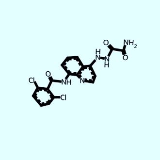 NC(=O)C(=O)NNc1ccnc2c(NC(=O)c3c(Cl)cccc3Cl)cccc12